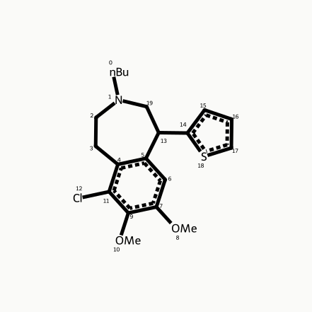 CCCCN1CCc2c(cc(OC)c(OC)c2Cl)C(c2cccs2)C1